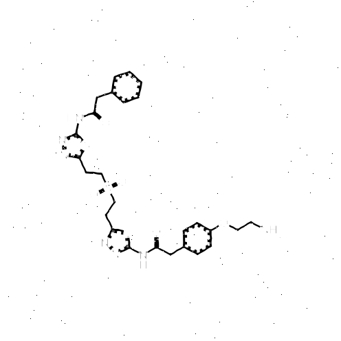 NCCOc1ccc(CC(=O)Nc2nnc(CCS(=O)(=O)CCc3nnc(NC(=O)Cc4ccccc4)s3)s2)cc1